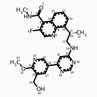 CNC(=O)c1c(F)cnc2c([C@H](C)CNc3cc(-c4cnc(OC)c(CO)c4)ncn3)cccc12